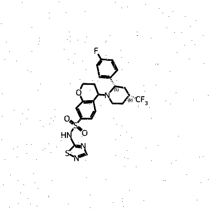 O=S(=O)(Nc1ncns1)c1ccc2c(c1)OCCC2N1CC[C@@H](C(F)(F)F)C[C@H]1c1ccc(F)cc1